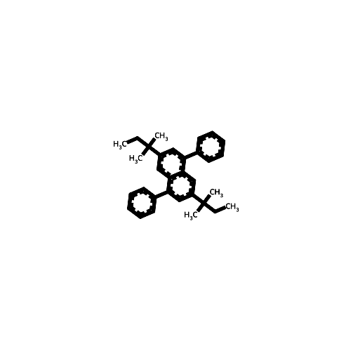 CCC(C)(C)c1cc(-c2ccccc2)c2cc(C(C)(C)CC)cc(-c3ccccc3)c2c1